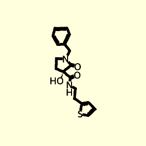 O=C(NCCc1cccs1)[C@@]1(O)CCN(Cc2ccccc2)C1=O